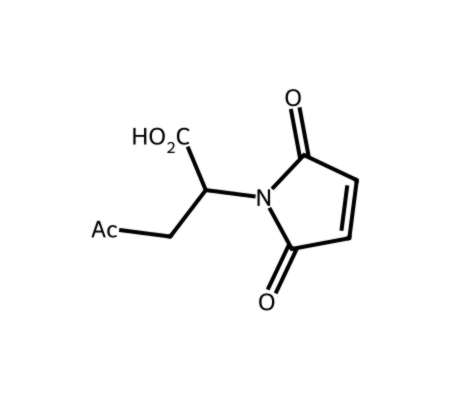 CC(=O)CC(C(=O)O)N1C(=O)C=CC1=O